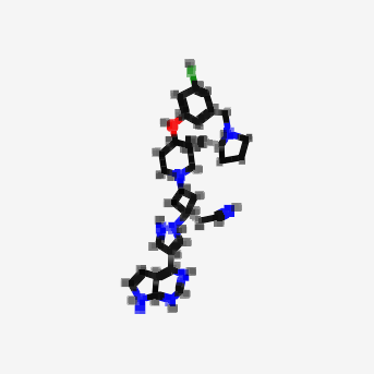 C[C@H]1CCCN1Cc1cc(F)cc(OC2CCN([C@H]3C[C@@](CC#N)(n4cc(-c5ncnc6[nH]ccc56)cn4)C3)CC2)c1